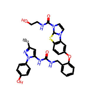 CC(C)(C)c1cc(NC(=O)NCc2ccccc2Oc2ccc3c(c2)N2C=CN(C(=O)NCCO)C2S3)n(-c2ccc(O)cc2)n1